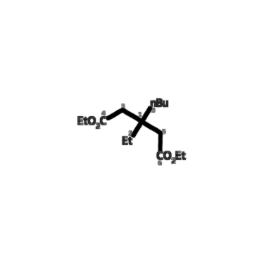 CCCCC(CC)(CC(=O)OCC)CC(=O)OCC